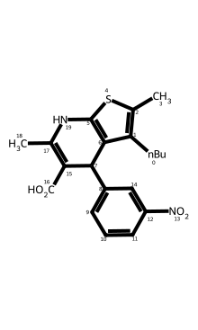 CCCCc1c(C)sc2c1C(c1cccc([N+](=O)[O-])c1)C(C(=O)O)=C(C)N2